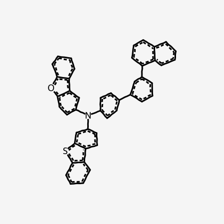 c1cc(-c2ccc(N(c3ccc4c(c3)sc3ccccc34)c3ccc4oc5ccccc5c4c3)cc2)cc(-c2cccc3ccccc23)c1